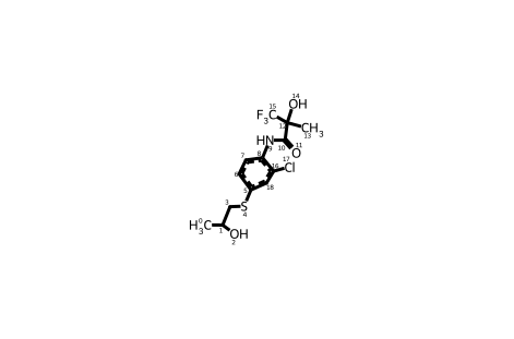 CC(O)CSc1ccc(NC(=O)C(C)(O)C(F)(F)F)c(Cl)c1